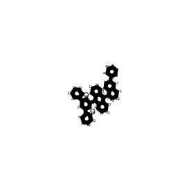 c1ccc(-c2ccc3c(-c4c5ccccc5c(-c5c6oc7ccccc7c6cc6c5oc5ccccc56)c5ccccc45)cccc3c2)cc1